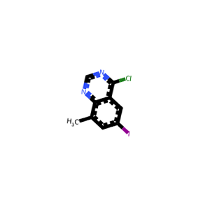 Cc1cc(I)cc2c(Cl)ncnc12